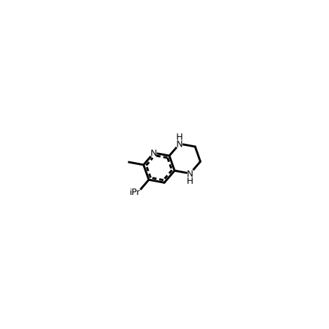 Cc1nc2c(cc1C(C)C)NCCN2